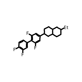 CCC1CCC2CC(c3cc(F)c(-c4ccc(F)c(F)c4)c(F)c3)CCC2C1